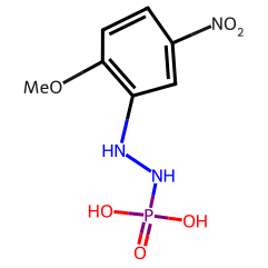 COc1ccc([N+](=O)[O-])cc1NNP(=O)(O)O